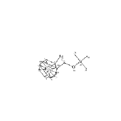 CC(=O)[C]12[CH]3[CH]4[CH]5[CH]1[Fe]45321678[CH]2[CH]1[CH]6[C]7(CO[Si](C)(C)C)[CH]28